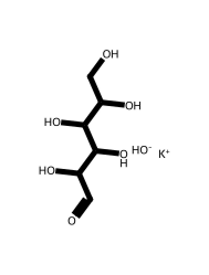 O=CC(O)C(O)C(O)C(O)CO.[K+].[OH-]